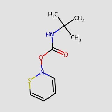 CC(C)(C)NC(=O)ON1C=CC=CS1